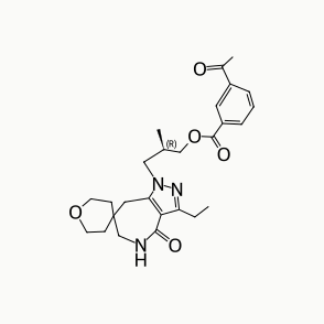 CCc1nn(C[C@@H](C)COC(=O)c2cccc(C(C)=O)c2)c2c1C(=O)NCC1(CCOCC1)C2